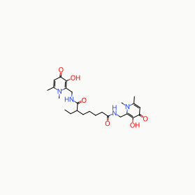 CCC(CCCCC(=O)NCc1c(O)c(=O)cc(C)n1C)C(=O)NCc1c(O)c(=O)cc(C)n1C